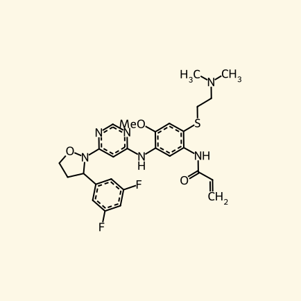 C=CC(=O)Nc1cc(Nc2cc(N3OCCC3c3cc(F)cc(F)c3)ncn2)c(OC)cc1SCCN(C)C